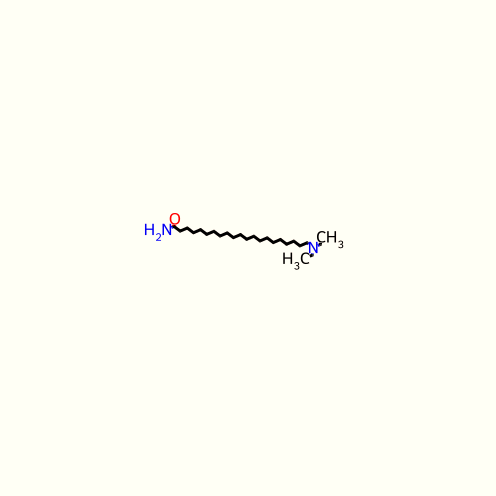 CCN(CC)CCCCCCCCCCCCCCCCCCCCC(N)=O